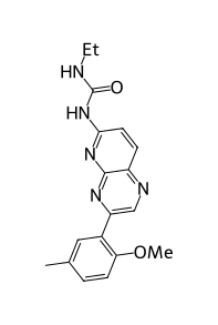 CCNC(=O)Nc1ccc2ncc(-c3cc(C)ccc3OC)nc2n1